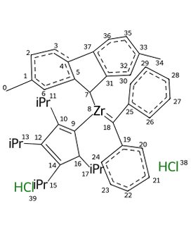 Cc1ccc2c(c1)[CH]([Zr]([C]1=C(C(C)C)C(C(C)C)=C(C(C)C)C1C(C)C)=[C](c1ccccc1)c1ccccc1)c1cc(C)ccc1-2.Cl.Cl